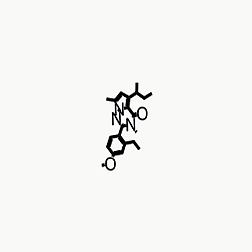 CCc1cc(OC)ccc1-c1nn2c(C)cc(C(C)CC)c2c(=O)n1C